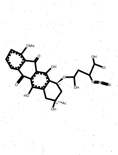 CCC(O)C(CC(O)O[C@H]1C[C@](O)(C(C)=O)Cc2c(O)c3c(c(O)c21)C(=O)c1c(OC)cccc1C3=O)N=[N+]=[N-]